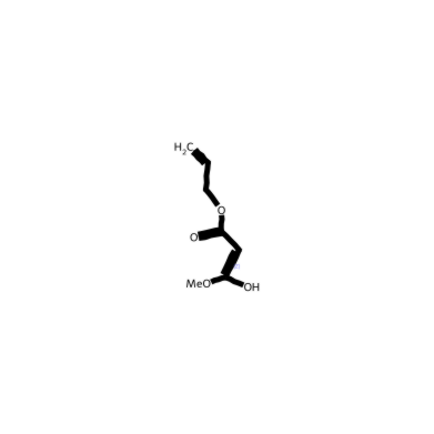 C=CCOC(=O)/C=C(/O)OC